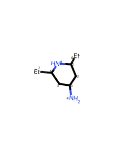 CCC1CC(N)CC(CC)N1